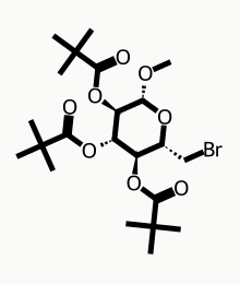 CO[C@@H]1O[C@H](CBr)[C@@H](OC(=O)C(C)(C)C)[C@H](OC(=O)C(C)(C)C)[C@H]1OC(=O)C(C)(C)C